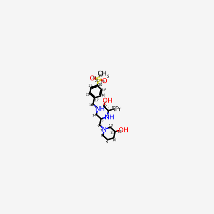 CC(C)C(CO)NC([CH]N1CCCC(O)C1)CNCc1ccc(S(C)(=O)=O)cc1